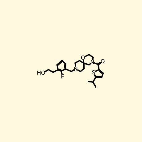 CC(C)c1ccc(C(=O)N2CCOC3(CCN(Cc4cccc(CCO)c4F)CC3)C2)s1